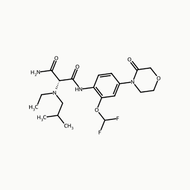 CCN(CC(C)C)[C@H](C(N)=O)C(=O)Nc1ccc(N2CCOCC2=O)cc1OC(F)F